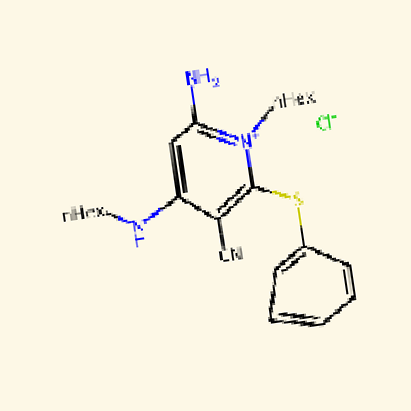 CCCCCCNc1cc(N)[n+](CCCCCC)c(Sc2ccccc2)c1C#N.[Cl-]